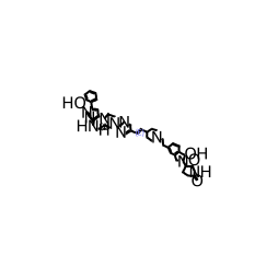 O=C1CCC(N2Cc3cc(CCN4CCC(/C=C/c5cnc(N6CCN7c8cc(-c9ccccc9O)nnc8NC[C@H]7C6)nc5)CC4)ccc3C2O)C(=O)N1